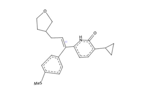 CSc1ccc(/C(=C\CC2CCOC2)c2ccc(C3CC3)c(=O)[nH]2)cc1